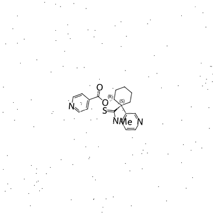 CNC(=S)[C@]1(c2cccnc2)CCCC[C@H]1OC(=O)c1ccncc1